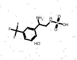 Cl.NC(CNS(=O)(=O)O)c1cccc(C(F)(F)F)c1